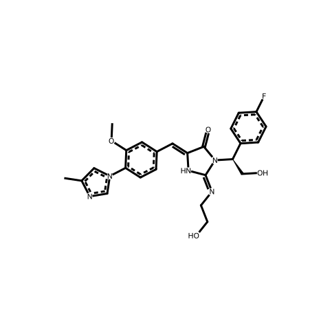 COc1cc(/C=C2\N/C(=N\CCO)N([C@H](CO)c3ccc(F)cc3)C2=O)ccc1-n1cnc(C)c1